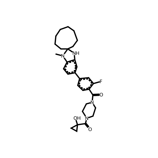 CN1c2ccc(-c3ccc(C(=O)N4CCN(C(=O)C5(O)CC5)CC4)c(F)c3)cc2NC12CCCCCCCC2